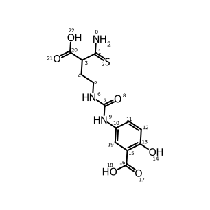 NC(=S)C(CCNC(=O)Nc1ccc(O)c(C(=O)O)c1)C(=O)O